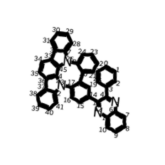 c1ccc(-c2nc3ccccc3nc2-c2ccc3c(c2)c2ccccc2n2c4ccccc4c4ccc5c6ccccc6n3c5c42)cc1